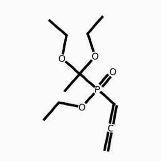 C=C=CP(=O)(OCC)C(C)(OCC)OCC